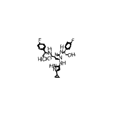 O=C(N[C@@H](CO)c1ccc(F)cc1)c1cc(Nc2cc(C3CC3)n[nH]2)nc(N[C@@H](CO)c2ccc(F)cc2)n1